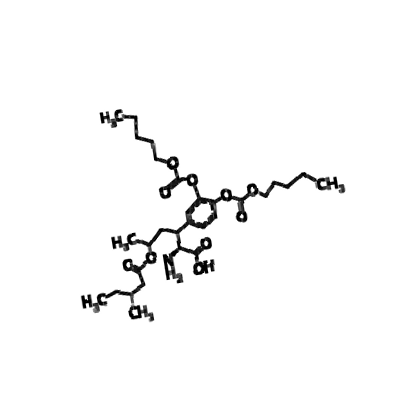 CCCCCOC(=O)Oc1ccc(C(CC(C)OC(=O)CC(C)CC)[C@H](N)C(=O)O)cc1OC(=O)OCCCCC